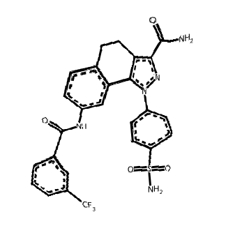 NC(=O)c1nn(-c2ccc(S(N)(=O)=O)cc2)c2c1CCc1ccc(NC(=O)c3cccc(C(F)(F)F)c3)cc1-2